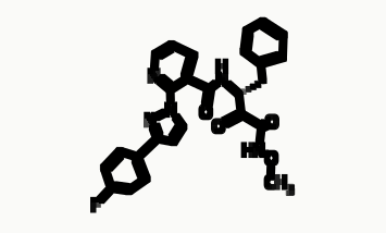 CONC(=O)C(=O)[C@@H](Cc1ccccc1)NC(=O)c1cccnc1-n1ccc(-c2ccc(F)cc2)n1